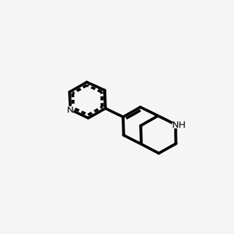 C1=C(c2cccnc2)CC2CCNC1C2